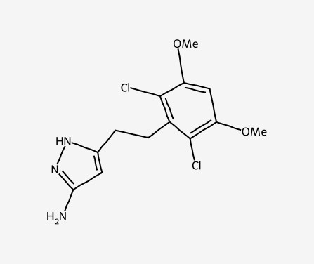 COc1cc(OC)c(Cl)c(CCc2cc(N)n[nH]2)c1Cl